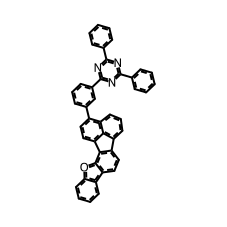 c1ccc(-c2nc(-c3ccccc3)nc(-c3cccc(-c4ccc5c6c(cccc46)-c4ccc6c(oc7ccccc76)c4-5)c3)n2)cc1